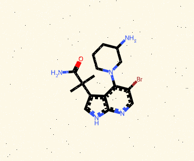 CC(C)(C(N)=O)c1c[nH]c2ncc(Br)c(N3CCCC(N)C3)c12